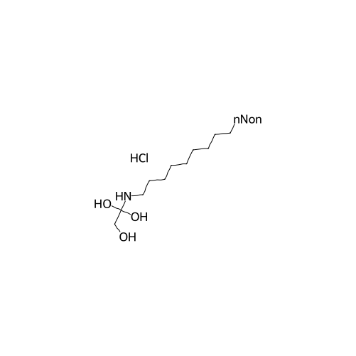 CCCCCCCCCCCCCCCCCCNC(O)(O)CO.Cl